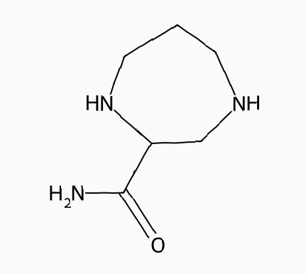 NC(=O)C1CNCCCN1